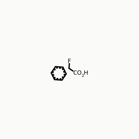 O=C(O)CF.c1ccccc1